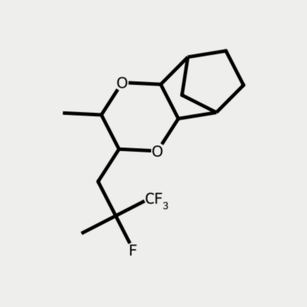 CC1OC2C3CCC(C3)C2OC1CC(C)(F)C(F)(F)F